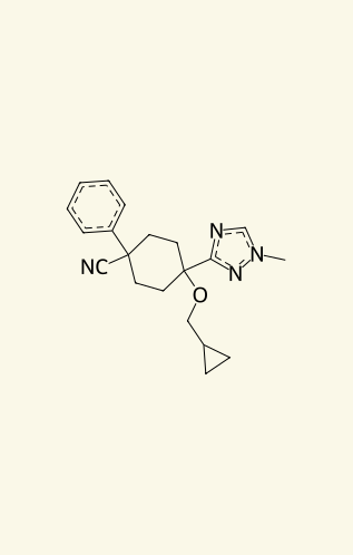 Cn1cnc(C2(OCC3CC3)CCC(C#N)(c3ccccc3)CC2)n1